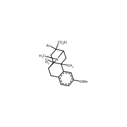 CCOC(=O)C1(C(C)=O)CC2(C)C3Cc4ccc(OC)cc4C2(C)CC1N3C